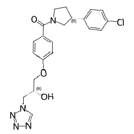 O=C(c1ccc(OC[C@H](O)Cn2cnnn2)cc1)N1CC[C@H](c2ccc(Cl)cc2)C1